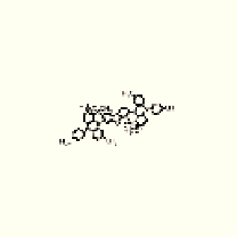 Cc1ccc(N2c3ccc(C)cc3B3c4cc5oc6c7c(ccc6c5cc4C(C)(C)c4c(C)ccc2c43)B2c3cc(C)ccc3N(c3ccc(C)cc3)c3ccc(C)c(c32)C7(C)C)cc1